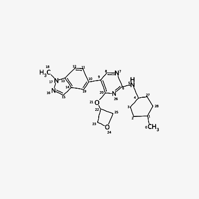 CC1CCC(Nc2ncc(-c3ccc4c(cnn4C)c3)c(OC3COC3)n2)CC1